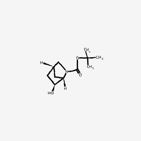 CC(C)(C)OC(=O)N1C[C@H]2C[C@H](O)[C@@H]1C2